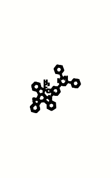 CC1(C)c2ccccc2-c2c1c1c(c3ccccc3n1-c1ccc(-c3cc(-c4ccccc4)nc(-c4ccccc4)n3)cc1)c1c2sc2ccccc21